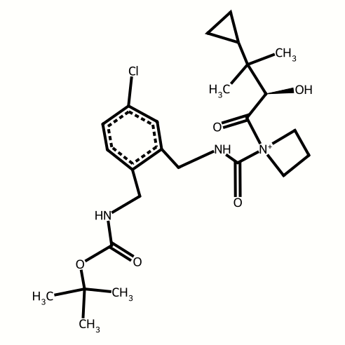 CC(C)(C)OC(=O)NCc1ccc(Cl)cc1CNC(=O)[N+]1(C(=O)[C@H](O)C(C)(C)C2CC2)CCC1